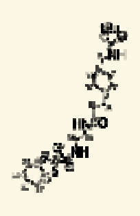 CC(C)(C)OC(=O)NCc1ccc(CCC(=O)NCCNS(=O)(=O)c2cc3ccccc3s2)cc1